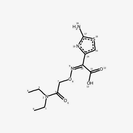 CCN(CC)C(=O)CO/N=C(\C(=O)O)c1csc(N)n1